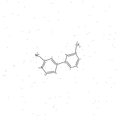 N#Cc1cc(-c2cccc(C(F)(F)F)c2)ccn1